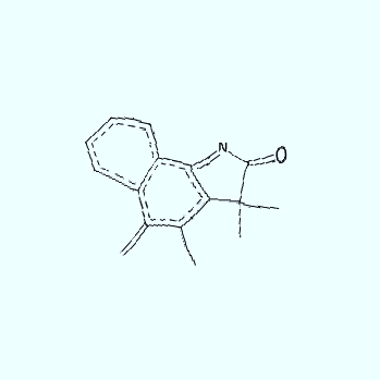 C=c1c(C)c2c(c3ccccc13)=NC(=O)C2(C)C